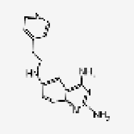 Nc1nc(N)c2cc(NCCc3ccncc3)ccc2n1